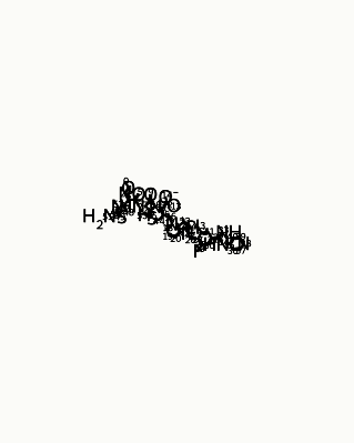 CO/N=C(\C(=O)N[C@@H]1C(=O)N2C(C(=O)[O-])=C(C[n+]3cccc4c3ccn4Cc3c(F)cc(C(=N)Nc4ccncc4)cc3Cl)CS[C@H]12)c1csc(N)n1